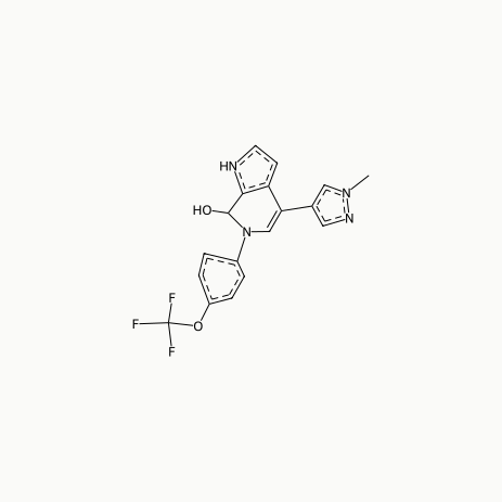 Cn1cc(C2=CN(c3ccc(OC(F)(F)F)cc3)C(O)c3[nH]ccc32)cn1